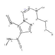 C=Nc1c(C(=O)NC)cnn1/C=C\N(C)CCCC